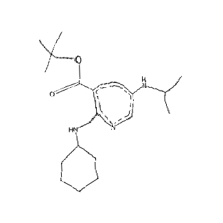 CC(C)Nc1cnc(NC2CCCCC2)c(C(=O)OC(C)(C)C)c1